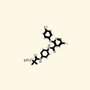 CCOC(=O)C(C)(C)C(=O)NC1CCC(NC(=O)c2cc(F)cnc2Oc2ccc(F)cc2)CC1